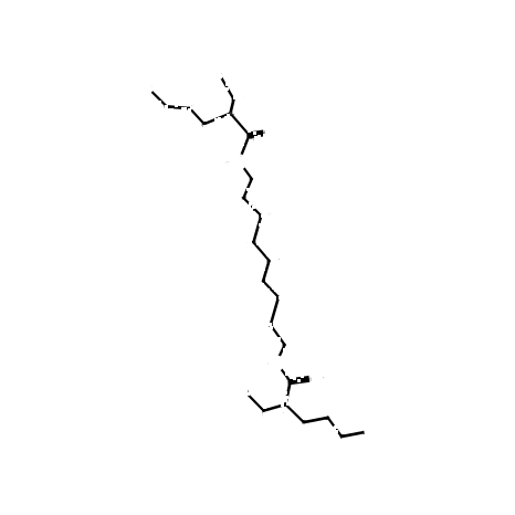 CCCCC(CC)C(=O)OCCCCCCCCCOC(=O)C(CC)CCCC